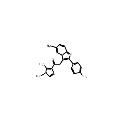 Cc1ccc(-c2nc3ccc(C)cn3c2CC(=O)c2ncn(C)c2C)cc1